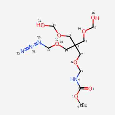 CC(C)(C)OC(=O)NCOCC(COCO)(COCO)COCN=[N+]=[N-]